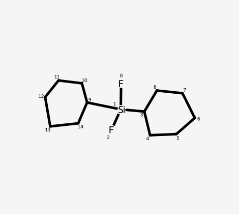 F[Si](F)(C1CCCCC1)C1CCCCC1